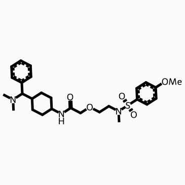 COc1ccc(S(=O)(=O)N(C)CCOCC(=O)NC2CCC(C(c3ccccc3)N(C)C)CC2)cc1